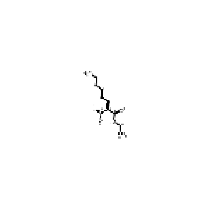 CCCCCC=C(C(=O)OCC)[N+](=O)[O-]